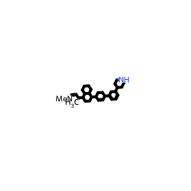 CN/C=C\C(C)C1CCC(C2C=CC(C3=CC=CC(C4CCNCC4)C3)CC2)C2CCCCC12